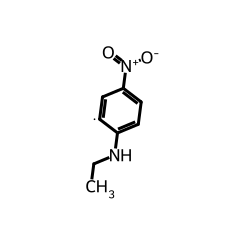 CCNc1[c]cc([N+](=O)[O-])cc1